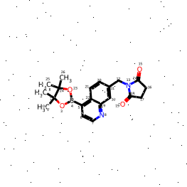 CC1(C)OB(c2ccnc3cc(CN4C(=O)CCC4=O)ccc23)OC1(C)C